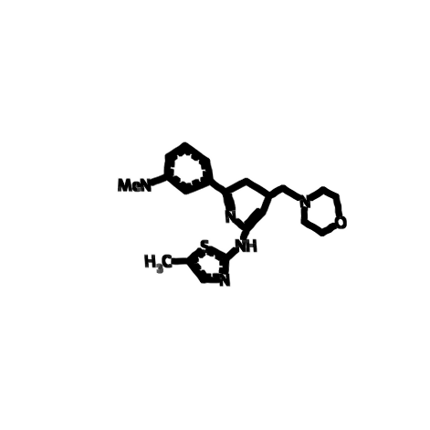 CNc1cccc(C2=NC(Nc3ncc(C)s3)=CC(CN3CCOCC3)C2)c1